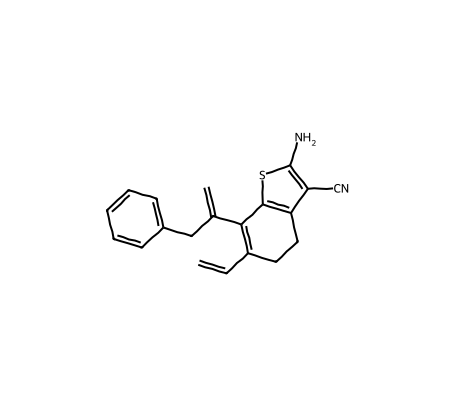 C=CC1=C(C(=C)Cc2ccccc2)c2sc(N)c(C#N)c2CC1